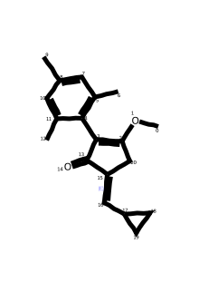 COC1=C(c2c(C)cc(C)cc2C)C(=O)/C(=C/C2CC2)C1